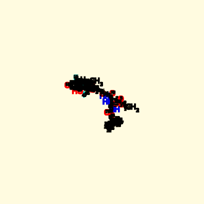 C=CCOC(=O)CC[C@H](NC(=O)CNC(=O)OCC1c2ccccc2-c2ccccc21)C(=O)NCOCCCC(=O)O[C@]1(C(=O)SCF)[C@H](C)C[C@H]2[C@@H]3C[C@H](F)C4=CC(=O)C=C[C@]4(C)[C@@]3(F)[C@@H](O)C[C@@]21C